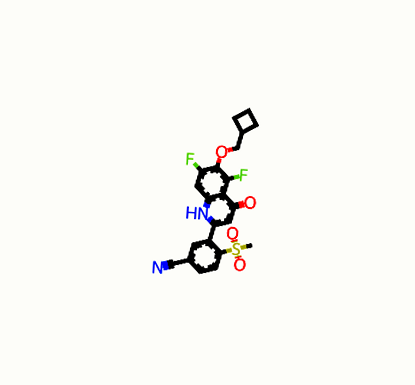 CS(=O)(=O)c1ccc(C#N)cc1-c1cc(=O)c2c(F)c(OCC3CCC3)c(F)cc2[nH]1